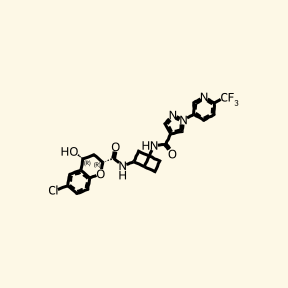 O=C(NC12CCC1C(NC(=O)[C@H]1C[C@@H](O)c3cc(Cl)ccc3O1)C2)c1cnn(-c2ccc(C(F)(F)F)nc2)c1